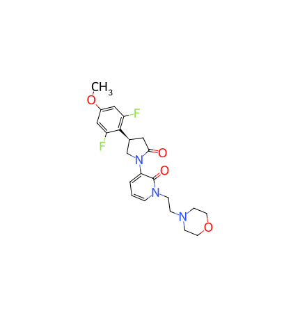 COc1cc(F)c([C@H]2CC(=O)N(c3cccn(CCN4CCOCC4)c3=O)C2)c(F)c1